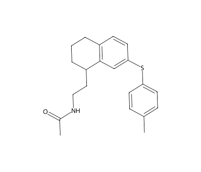 CC(=O)NCCC1CCCc2ccc(Sc3ccc(C)cc3)cc21